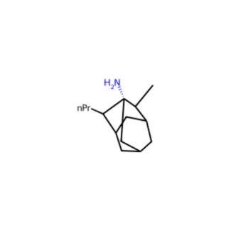 CCCC1C2CC3CC(C2)C(C)[C@@]1(N)C3